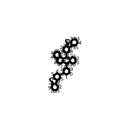 c1cc(-c2ccc3sc4ccccc4c3c2)cc(-c2c3ccccc3c(-c3ccc4sc5ccccc5c4c3)c3c2ccc2ccccc23)c1